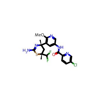 COc1ncc(NC(=O)c2ccc(Cl)cn2)cc1[C@]1(C)C[C@](C)(C(F)F)SC(N)=N1